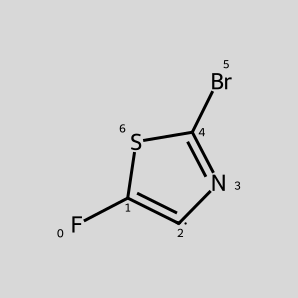 Fc1[c]nc(Br)s1